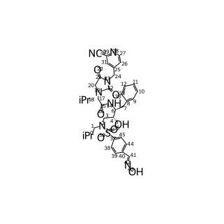 CC(C)CN(C[C@@H](O)[C@H](Cc1ccccc1)NC(=O)[C@H](C(C)C)N1CC(=O)N(Cc2ccnc(C#N)c2)C1=O)S(=O)(=O)c1ccc(C=NO)cc1